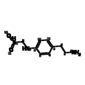 NCCc1ccc(NC[SH](=O)=O)cc1